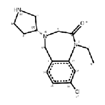 CCN1C(=O)CN([C@@H]2CCNC2)Cc2ccc(Cl)cc21